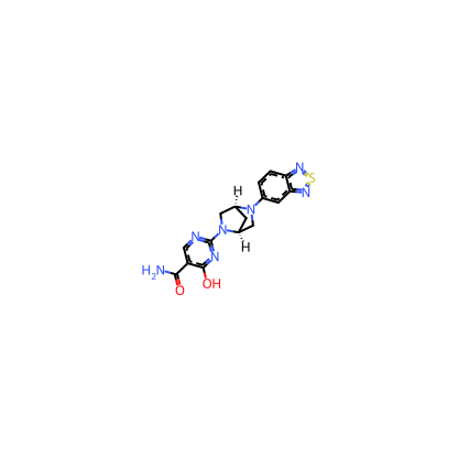 NC(=O)c1cnc(N2C[C@@H]3C[C@H]2CN3c2ccc3nsnc3c2)nc1O